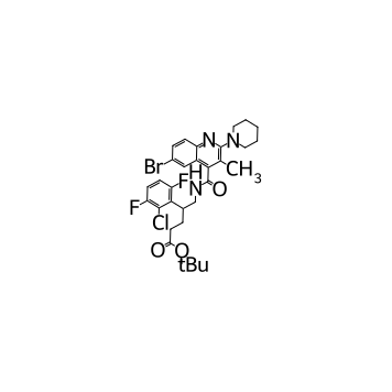 Cc1c(N2CCCCC2)nc2ccc(Br)cc2c1C(=O)NCC(CCC(=O)OC(C)(C)C)c1c(F)ccc(F)c1Cl